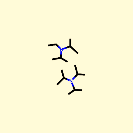 CC(C)N(C(C)C)C(C)C.CCN(C(C)C)C(C)C